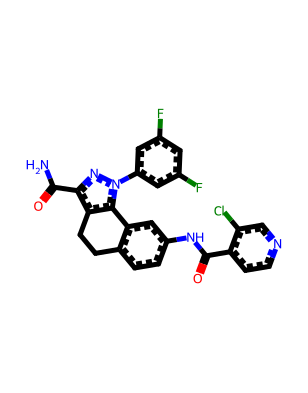 NC(=O)c1nn(-c2cc(F)cc(F)c2)c2c1CCc1ccc(NC(=O)c3ccncc3Cl)cc1-2